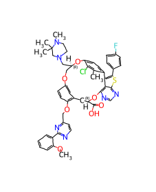 COc1ccccc1-c1nccc(COc2ccc3cc2C[C@H](C(=O)O)Oc2ncnc4sc(-c5ccc(F)cc5)c(c24)-c2ccc(c(Cl)c2C)O[C@H](CN2CCN(C)C(C)(C)C2)CO3)n1